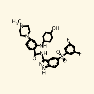 CN1CCN(c2ccc(C(=O)Nc3n[nH]c4ccc(S(=O)(=O)c5cc(F)cc(F)c5)cc34)c(NC3CCC(O)CC3)c2)CC1